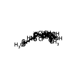 COC(=O)CCCCCNC(=O)c1cccc(COc2c(Cl)cc(C(=O)N[C@H]3[C@@H](OC)O[C@H](CO)[C@@H](O)[C@@H]3O)c(C)c2Cl)c1